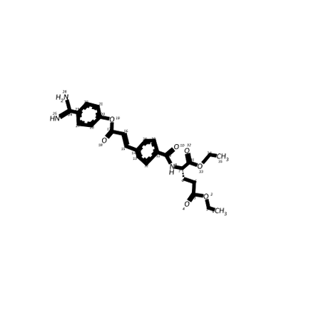 CCOC(=O)CC[C@H](NC(=O)c1ccc(C=CC(=O)Oc2ccc(C(=N)N)cc2)cc1)C(=O)OCC